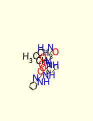 CC(C)(C)OC(=O)N(CCC(N)=O)NC(=O)[C@H](CC1CCC1)NC(=O)c1nc2ccccc2[nH]1